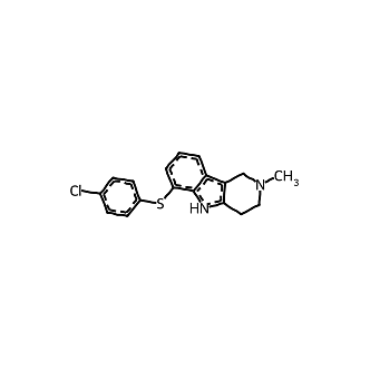 CN1CCc2[nH]c3c(Sc4ccc(Cl)cc4)cccc3c2C1